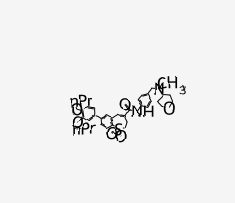 CCCOc1ccc(-c2ccc3c(c2)C=C(C(=O)Nc2ccc(CN(C)C4CCOCC4)cc2)CCS3(=O)=O)cc1OCCC